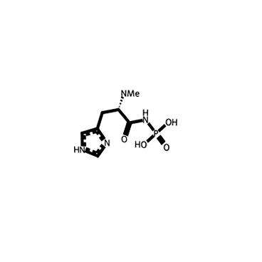 CN[C@@H](Cc1c[nH]cn1)C(=O)NP(=O)(O)O